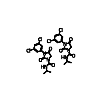 CC(C)NC(=O)N1CC(=O)N(c2cc(Cl)cc(Cl)c2)C1=O.CC(C)NC(=O)N1CC(=O)N(c2cc(Cl)cc(Cl)c2)C1=O